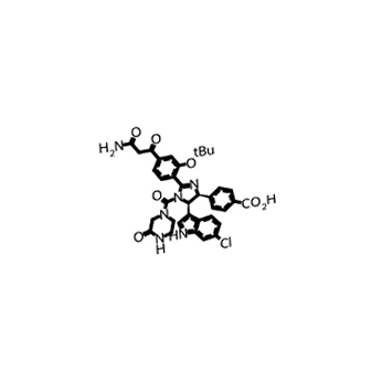 CC(C)(C)Oc1cc(C(=O)CC(N)=O)ccc1C1=N[C@@H](c2ccc(C(=O)O)cc2)[C@@H](c2c[nH]c3cc(Cl)ccc23)N1C(=O)N1CCNC(=O)C1